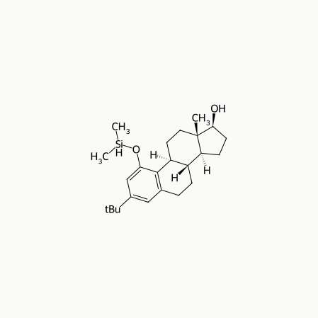 C[SiH](C)Oc1cc(C(C)(C)C)cc2c1[C@H]1CC[C@]3(C)[C@@H](O)CC[C@H]3[C@@H]1CC2